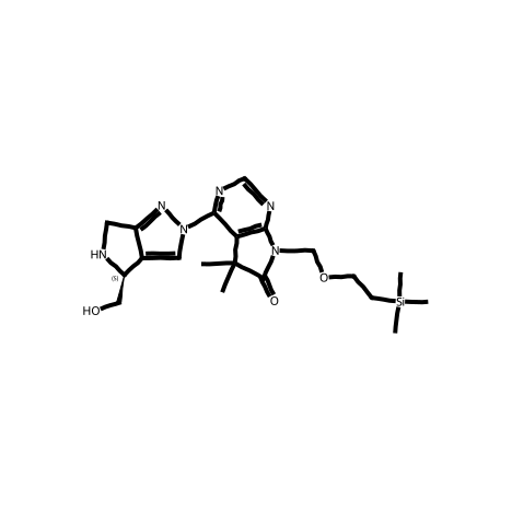 CC1(C)C(=O)N(COCC[Si](C)(C)C)c2ncnc(-n3cc4c(n3)CN[C@@H]4CO)c21